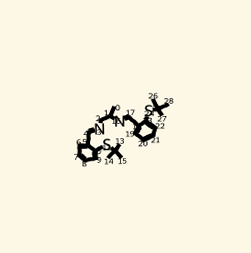 CC(C/N=C/c1ccccc1SC(C)(C)C)/N=C/c1ccccc1SC(C)(C)C